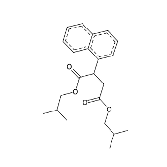 CC(C)COC(=O)CC(C(=O)OCC(C)C)c1cccc2ccccc12